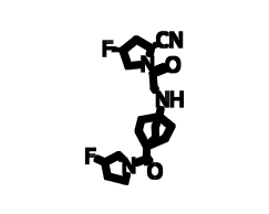 N#C[C@@H]1C[C@H](F)CN1C(=O)CNC12CCC(C(=O)N3CCC(F)C3)(CC1)CC2